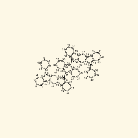 c1ccc(-n2c3ccccc3c3cc4c5ccccc5n(-c5c6ccccc6c(-n6c7ccccc7c7cc8c9ccccc9n(-c9ccccc9)c8cc76)c6ccccc56)c4cc32)cc1